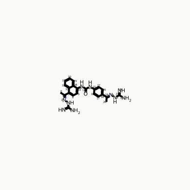 C/C(=N/NC(=N)N)c1ccc(NC(=O)Nc2ccc(/C(C)=N/NC(=N)N)cc2)c2ccccc12